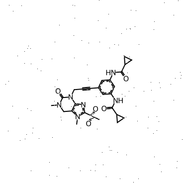 CN1Cc2c(nc(S(C)(=O)=O)n2C)N(CC#Cc2cc(NC(=O)C3CC3)cc(NC(=O)C3CC3)c2)C1=O